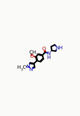 COc1cc(C(=O)N[C@@H]2CCNC2)ccc1-c1cnn(C)c1